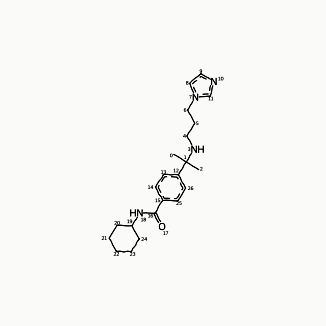 CC(C)(NCCCn1ccnc1)c1ccc(C(=O)NC2CCCCC2)cc1